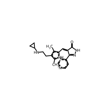 Cc1[nH]c(/C=C2/C(=O)NN=C2c2ccncn2)c(C)c1CCNC1CC1